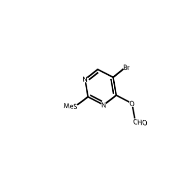 CSc1ncc(Br)c(OC=O)n1